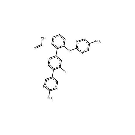 Nc1cnc(Sc2ccccc2-c2ccc(-c3cnc(N)nc3)c(F)c2)nc1.O=CO